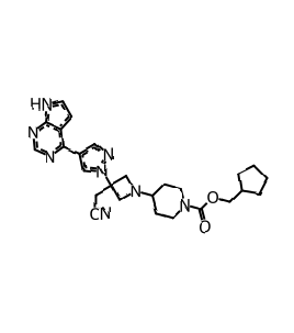 N#CCC1(n2cc(-c3ncnc4[nH]ccc34)cn2)CN(C2CCN(C(=O)OCC3CCCC3)CC2)C1